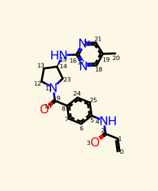 C=CC(=O)Nc1ccc(C(=O)N2CC[C@@H](Nc3ncc(C)cn3)C2)cc1